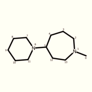 CN1CCCC(N2CCCCC2)CC1